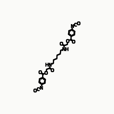 O=C=Nc1ccc(C(=O)OCC(=O)NCCCCCCNC(=O)COC(=O)c2ccc(N=C=O)cc2)cc1